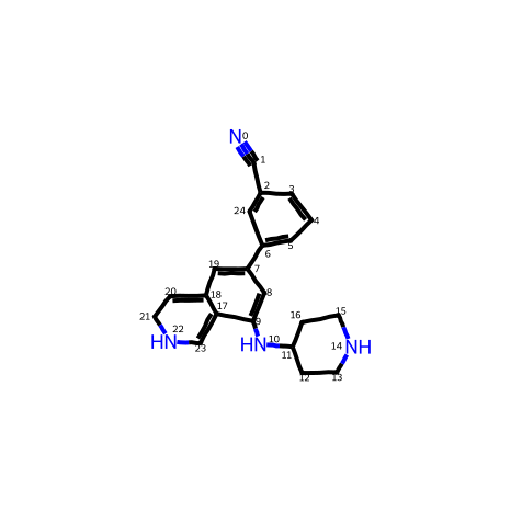 N#Cc1cccc(-c2cc(NC3CCNCC3)c3c(c2)=CCNC=3)c1